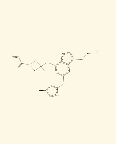 C=CC(=O)N1CC(C)(Oc2nc(Nc3ncc(C)s3)cc3c2ccn3CCOC)C1